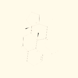 C[C@@]12CCC[C@H]1[C@@H]1CCC3CCC=C[C@]3(CS(=O)(=O)O)[C@H]1CC2